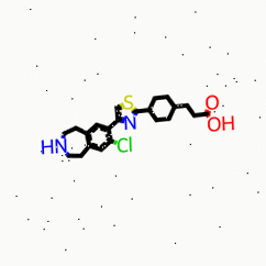 O=C(O)CCC1CCC(c2nc(-c3cc4c(cc3Cl)CCNCC4)cs2)CC1